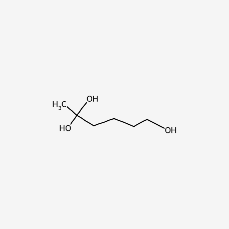 CC(O)(O)CCCCO